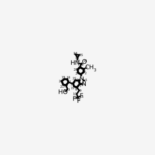 Cc1cc(-n2cnc3c(CCC(F)(F)F)cc(-c4ccccc4CO)cc32)ccc1C(=O)NC1CC1